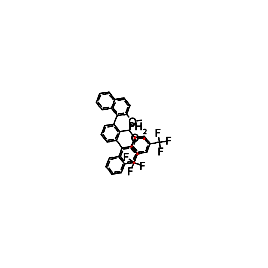 COc1ccc2ccccc2c1-c1cccc(-c2c(OC)ccc3ccccc23)c1C(P)c1cc(C(F)(F)F)cc(C(F)(F)F)c1